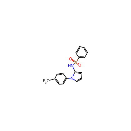 O=S(=O)(Nc1cccn1-c1ccc(C(F)(F)F)cc1)c1ccccc1